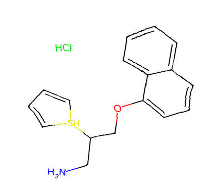 Cl.NCC(COc1cccc2ccccc12)[SH]1C=CC=C1